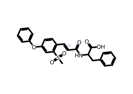 CS(=O)(=O)c1cc(Oc2ccccc2)ccc1/C=C/C(=O)NC(Cc1ccccc1)C(=O)O